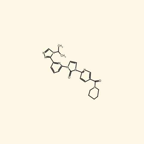 CC(C)n1cnnc1-c1cccc(-n2ccn(-c3ccc(C(=O)N4CCCCC4)cn3)c2=O)n1